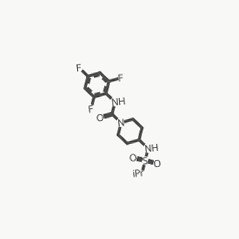 CC(C)S(=O)(=O)NC1CCN(C(=O)Nc2c(F)cc(F)cc2F)CC1